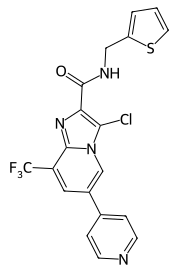 O=C(NCc1cccs1)c1nc2c(C(F)(F)F)cc(-c3ccncc3)cn2c1Cl